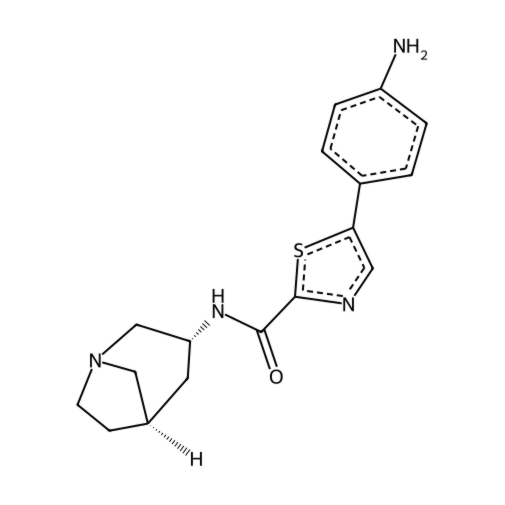 Nc1ccc(-c2cnc(C(=O)N[C@@H]3C[C@H]4CCN(C4)C3)s2)cc1